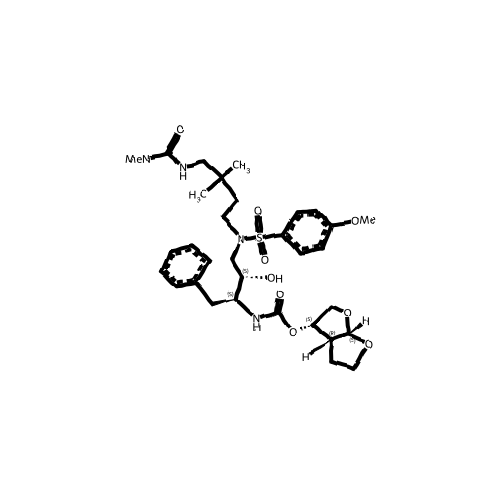 CNC(=O)NCC(C)(C)CCN(C[C@H](O)[C@H](Cc1ccccc1)NC(=O)O[C@@H]1CO[C@@H]2OCC[C@@H]21)S(=O)(=O)c1ccc(OC)cc1